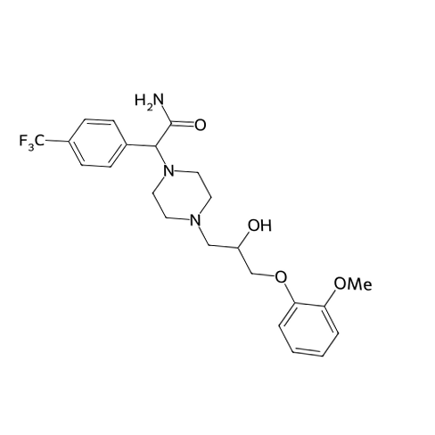 COc1ccccc1OCC(O)CN1CCN(C(C(N)=O)c2ccc(C(F)(F)F)cc2)CC1